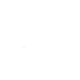 C#CC#CC#CC#CC#CC#CC#CC#CC#CC#CC#CC#CC#CC#CC#CC#CC#CC#CC#CC#CC#CC#CC#CC#CC#CC#CC#CC#CC#CC#CC#CC#CC#CC#CC#CC#CC#CC#CC#CC#CC#CC#CC#CC#CC#CC#CC#CC#CC#CC#CC#CC#CC#CC#CC#CC#CC#CC#CC#CC#N